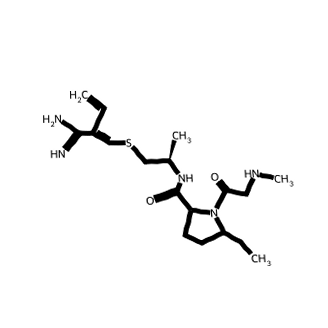 C=C/C(=C\SC[C@@H](C)NC(=O)C1CCC(CC)N1C(=O)CNC)C(=N)N